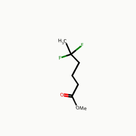 COC(=O)CCCC(C)(F)F